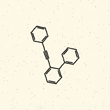 C(#Cc1ccccc1-c1ccccc1)c1ccccc1